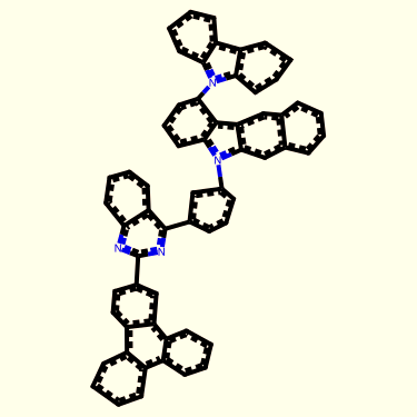 c1cc(-c2nc(-c3ccc4c5ccccc5c5ccccc5c4c3)nc3ccccc23)cc(-n2c3cc4ccccc4cc3c3c(-n4c5ccccc5c5ccccc54)cccc32)c1